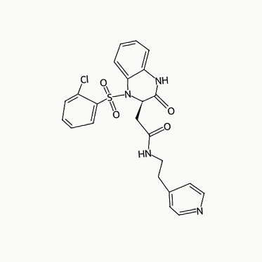 O=C(C[C@@H]1C(=O)Nc2ccccc2N1S(=O)(=O)c1ccccc1Cl)NCCc1ccncc1